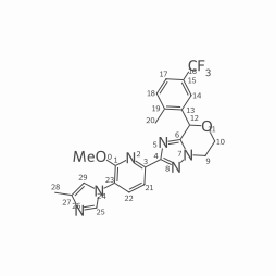 COc1nc(-c2nc3n(n2)CCOC3c2cc(C(F)(F)F)ccc2C)ccc1-n1cnc(C)c1